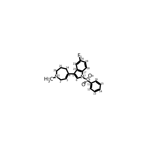 CN1CC=C(c2cn(S(=O)(=O)c3ccccc3)c3ccc(F)cc23)CCC1